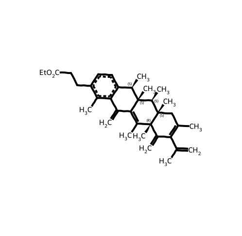 C=C(C)C1=C(C)C[C@@]2(C)[C@H](C)[C@]3(C)C(=C(C)[C@@]2(C)C1=C)C(=C)c1c(ccc(CCC(=O)OCC)c1C)[C@H]3C